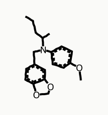 CCCC(C)N(Cc1ccc2c(c1)OCO2)c1ccc(OC)cc1